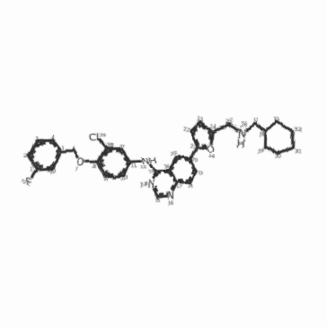 Fc1cccc(COc2ccc(Nc3ncnc4ccc(-c5ccc(CNCC6CCCCC6)o5)cc34)cc2Cl)c1